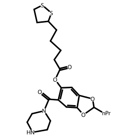 CCCC1Oc2cc(OC(=O)CCCCC3CCSS3)c(C(=O)N3CCNCC3)cc2O1